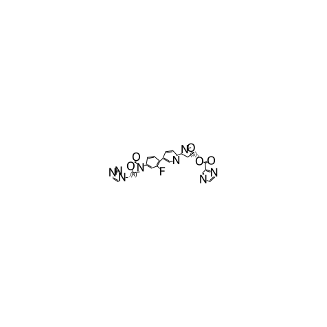 O=C(OC[C@@H]1CC(c2ccc(-c3ccc(N4C[C@H](Cn5ccnn5)OC4=O)cc3F)cn2)=NO1)c1cnccn1